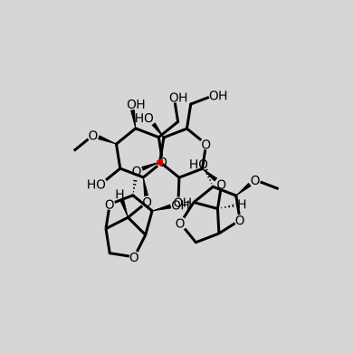 CO[C@H]1OC2COC([C@H]2O[C@@H]2OC(CO)[C@H](O)[C@H](O[C@H]3OC4COC([C@H]4O[C@@H]4OC(CO)[C@H](O)[C@H](OC)C4O)[C@@H]3O)C2O)[C@@H]1O